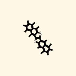 Cc1c(C)c(C)c2c(C)c3c(sc4c3sc3c(C)c5c(C)c(C)c(C)c(C)c5c(C)c34)c(C)c2c1C